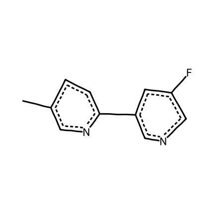 Cc1ccc(-c2cncc(F)c2)nc1